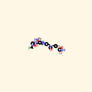 CC(C)Oc1cc2nn(C3CCC(CN4CCOC[C@H]4Cc4ccc(OC5CCC(=O)NC5=O)cc4)CC3)cc2cc1C(=O)Nc1cccn([C@H]2C[C@H]2F)c1=O